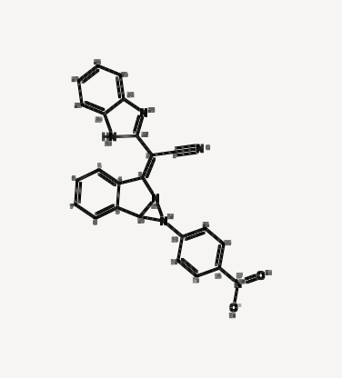 N#CC(=C1c2ccccc2C2N1N2c1ccc([N+](=O)[O-])cc1)c1nc2ccccc2[nH]1